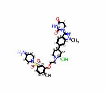 Cl.Cn1nc(N2CCC(=O)NC2=O)c2ccc(C3CCN(CCOc4cc(S(=O)(=O)N5CCC(N)CC5)ccc4C#N)CC3)cc21